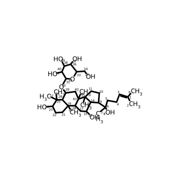 CC(C)=CCCC(C)(O)C1CCC2(C)C1C(O)CC1C3(C)CCC(O)C(C)(C)C3C(OC3OC(CO)C(O)C(O)C3O)CC12C